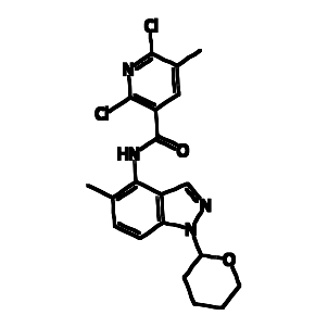 Cc1cc(C(=O)Nc2c(C)ccc3c2cnn3C2CCCCO2)c(Cl)nc1Cl